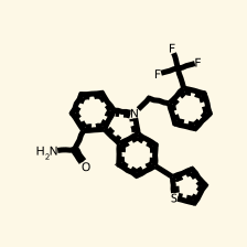 NC(=O)c1cccc2c1c1[c]cc(-c3cccs3)cc1n2Cc1ccccc1C(F)(F)F